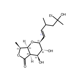 CCC(C)(O)CC(C)/C=C/[C@@H]1O[C@H]2[C@H](C(=O)O[C@H]2C)[C@H](O)[C@H]1O